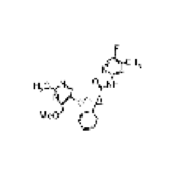 COCc1nc(C)ncc1OC[C@@]1(C2C=CC=CC2)C[C@H]1C(=O)Nc1cc(C)c(F)cn1